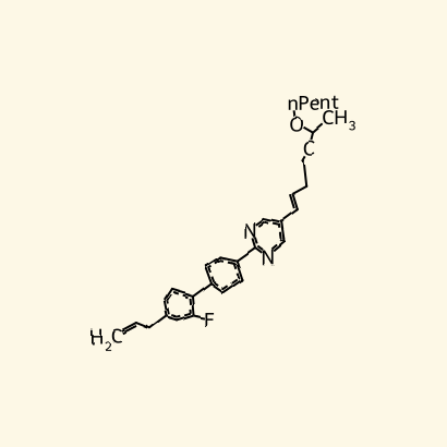 C=CCc1ccc(-c2ccc(-c3ncc(/C=C/CCCC(C)OCCCCC)cn3)cc2)c(F)c1